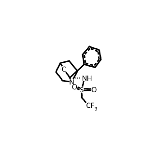 O=S(=O)(CC(F)(F)F)N[C@@]1(c2ccccc2)[CH]C2CCN1CC2